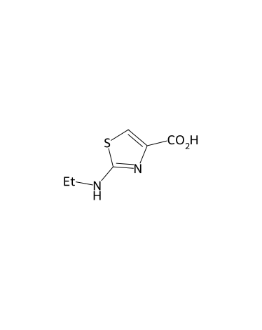 CCNc1nc(C(=O)O)cs1